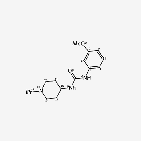 COc1cccc(NC(=O)NC2CCN(C(C)C)CC2)c1